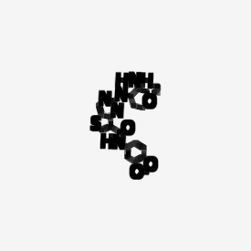 N[C@H]1COCC[C@H]1Nc1ncc2scc(C(=O)Nc3ccc4c(c3)OCO4)c2n1